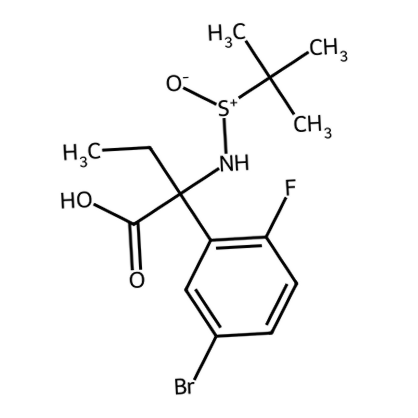 CCC(N[S+]([O-])C(C)(C)C)(C(=O)O)c1cc(Br)ccc1F